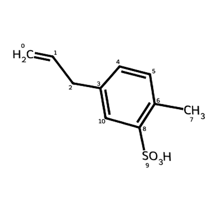 C=CCc1ccc(C)c(S(=O)(=O)O)c1